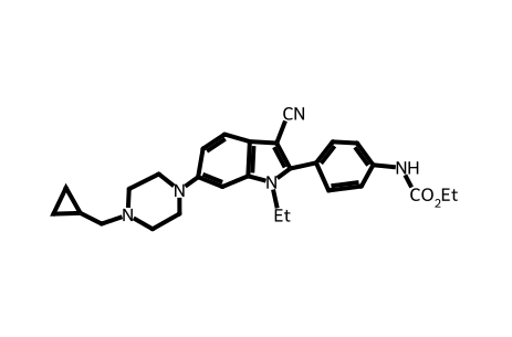 CCOC(=O)Nc1ccc(-c2c(C#N)c3ccc(N4CCN(CC5CC5)CC4)cc3n2CC)cc1